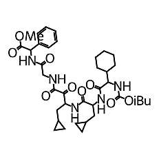 COC(=O)C(NC(=O)CNC(=O)C(=O)C(CC1CC1)NC(=O)C(CC1CC1)NC(=O)C(NC(=O)OCC(C)C)C1CCCCC1)c1ccccc1